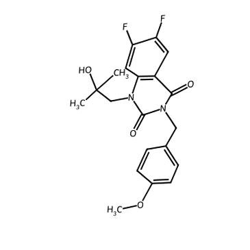 COc1ccc(Cn2c(=O)c3cc(F)c(F)cc3n(CC(C)(C)O)c2=O)cc1